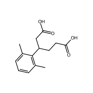 Cc1cccc(C)c1C(CCC(=O)O)CC(=O)O